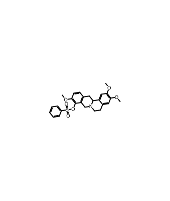 COc1cc2c(cc1OC)C1Cc3ccc(OC)c(OS(=O)(=O)c4ccccc4)c3CN1CC2